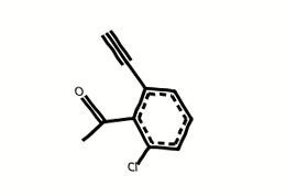 C#Cc1cccc(Cl)c1C(C)=O